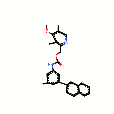 COc1c(C)cnc(COC(=O)Nc2cc(C)cc(-c3ccc4ccccc4c3)c2)c1C